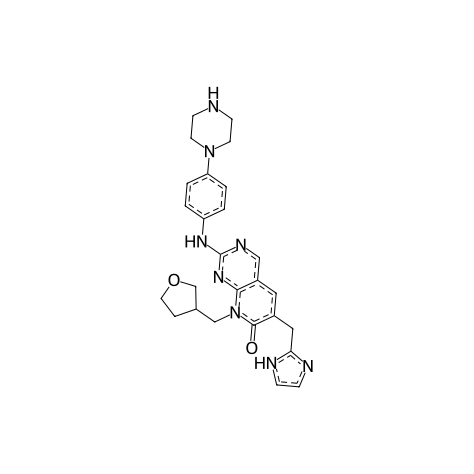 O=c1c(Cc2ncc[nH]2)cc2cnc(Nc3ccc(N4CCNCC4)cc3)nc2n1CC1CCOC1